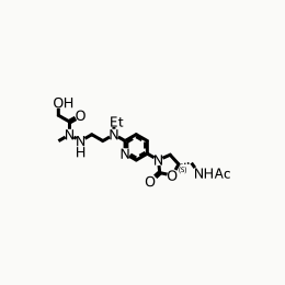 CCN(CCNN(C)C(=O)CO)c1ccc(N2C[C@H](CNC(C)=O)OC2=O)cn1